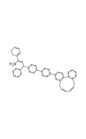 N/C(=C\C(c1ccccc1)c1ccc(-c2ccc(-c3ccc4c(c3)C/C=C\C=C/Cc3ccccc3-4)cc2)cc1)C1=CC=CCC1